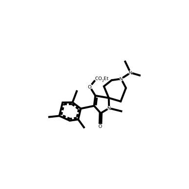 CCOC(=O)OC1=C(c2c(C)cc(C)cc2C)C(=O)N(C)C12CCN(N(C)C)CC2